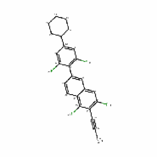 Fc1cc2cc(-c3c(F)cc(C4CCCCC4)cc3F)ccc2c(F)c1C#CC(F)(F)F